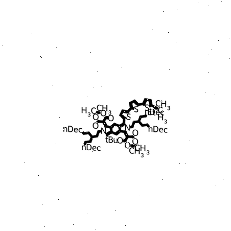 CCCCCCCCCCCCC(CCCCCCCCCCCC)CCn1c(-c2ccc(-c3ccc(-c4ccc(C(C)(C)CC)s4)s3)s2)c2cc3c(=C4C(=O)OC(C)(C)OC4=O)n(CCC(CCCCCCCCCCCC)CCCCCCCCCCCC)c(C(C)(C)C)c3cc2c1=C1C(=O)OC(C)(C)OC1=O